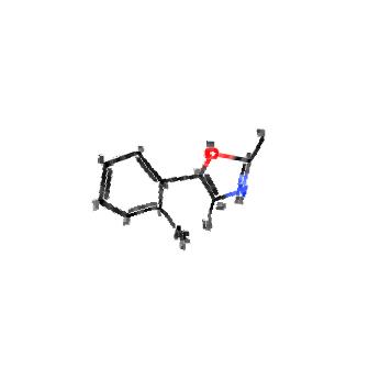 CC(=O)c1ccccc1-c1oc(C)nc1C